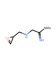 CNC(=N)CNCC1B=C1